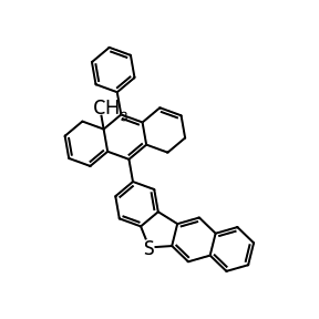 CC12CC=CC=C1C(c1ccc3sc4cc5ccccc5cc4c3c1)=C1CCC=CC1=C2c1ccccc1